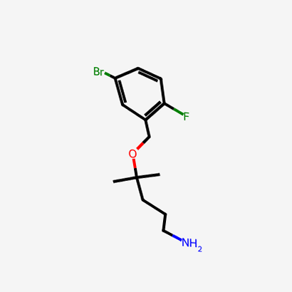 CC(C)(CCCN)OCc1cc(Br)ccc1F